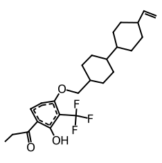 C=CC1CCC(C2CCC(COc3ccc(C(=O)CC)c(O)c3C(F)(F)F)CC2)CC1